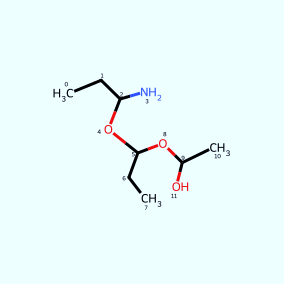 CCC(N)OC(CC)OC(C)O